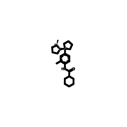 Cc1cc([N+]2(N3CCC[C@@H]3C)CCCC2)ccc1NC(=O)C1CCCCC1